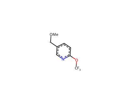 CO[CH]c1ccc(OC(F)(F)F)nc1